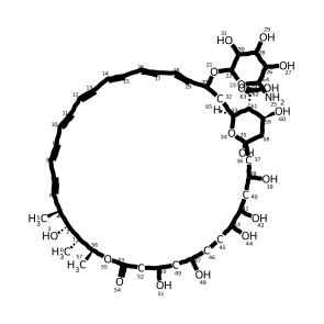 C[C@@H]1[C@H](O)[C@@H](C)/C=C/C=C/C=C/C=C/C=C/C=C/C=C/C(OC2OC(N)C(O)C(O)C2O)C[C@@H]2OC(O)(CC(O)CC(O)C(O)CCC(O)CC(O)CC(=O)O[C@H]1C)C[C@H](O)[C@H]2C(=O)O